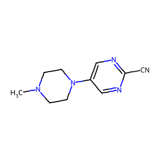 CN1CCN(c2cnc(C#N)nc2)CC1